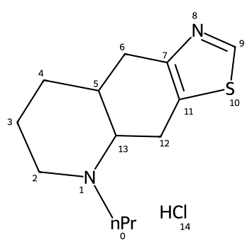 CCCN1CCCC2Cc3ncsc3CC21.Cl